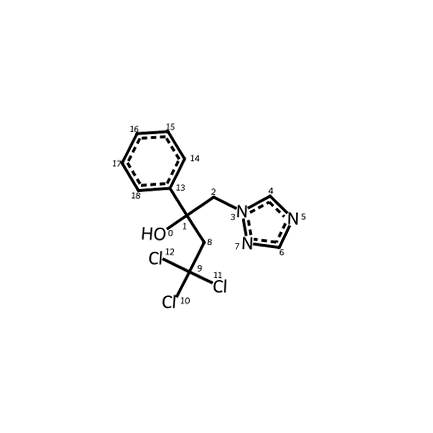 OC(Cn1cncn1)(CC(Cl)(Cl)Cl)c1ccccc1